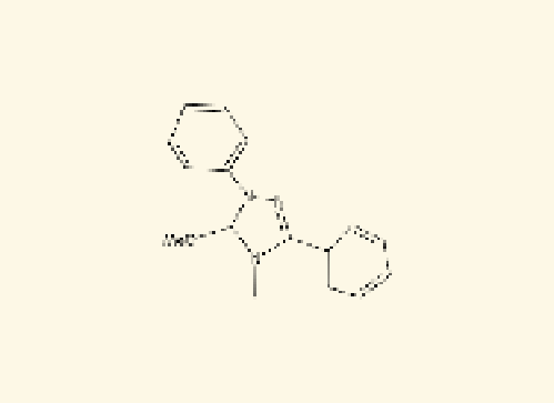 COC1N(C)C(c2ccccc2)=NN1c1ccccc1